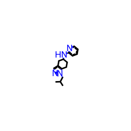 CC(C)Cn1ncc2c1CCC(Nc1ccccn1)C2